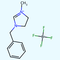 C[N+]1=CN(Cc2ccccc2)CC1.F[B-](F)(F)F